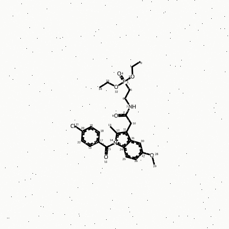 CCOP(=O)(CCNC(=O)Cc1c(C)n(C(=O)c2ccc(Cl)cc2)c2ccc(OC)cc12)OCC